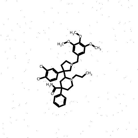 CCCN1CCC(C(N)=O)(c2ccccc2)CC1C1(c2ccc(Cl)c(Cl)c2)CCN(Cc2cc(OC)c(OC)c(OC)c2)C1